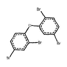 Brc1ccc(Oc2cc(Br)ccc2Br)c(Br)c1